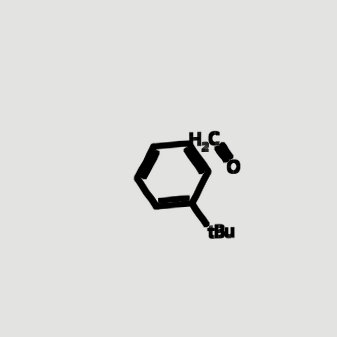 C=O.CC(C)(C)c1ccccc1